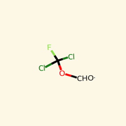 O=[C]OC(F)(Cl)Cl